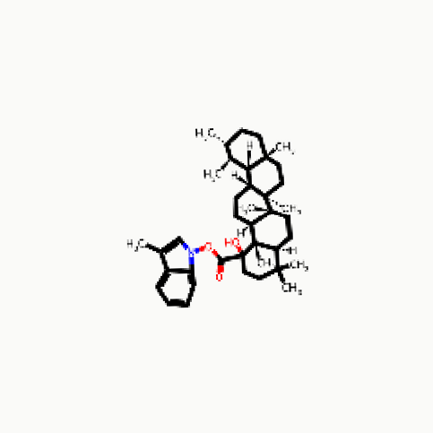 Cc1cn(OC(=O)C2(O)CCC(C)(C)[C@@H]3CC[C@]4(C)[C@H](CC[C@@H]5[C@@H]6[C@@H](C)[C@H](C)CC[C@]6(C)CC[C@]54C)[C@]32C)c2ccccc12